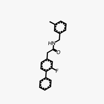 Cc1cccc(CNC(=O)Cc2ccc(-c3ccccc3)c(F)c2)c1